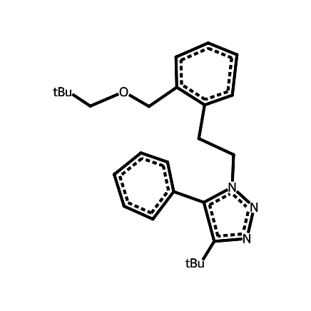 CC(C)(C)COCc1ccccc1CCn1nnc(C(C)(C)C)c1-c1ccccc1